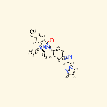 CCc1ccc(C(=O)Nc2ccc(NCCn3cccn3)cc2)c(N(C)C)c1